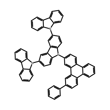 c1ccc(-c2ccc3c4ccccc4c4ccc(-n5c6ccc(-n7c8ccccc8c8ccccc87)cc6c6cc(-n7c8ccccc8c8ccccc87)ccc65)cc4c3c2)cc1